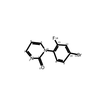 O=c1ncccn1-c1ccc(Br)cc1F